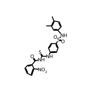 Cc1ccc(NS(=O)(=O)c2ccc(NC(=S)NC(=O)c3ccccc3[N+](=O)[O-])cc2)cc1C